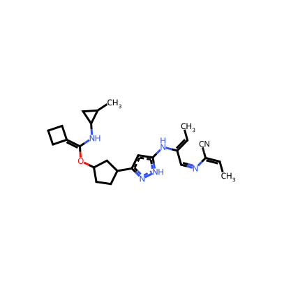 C\C=C(C#N)/N=C\C(=C\C)Nc1cc(C2CCC(OC(NC3CC3C)=C3CCC3)C2)n[nH]1